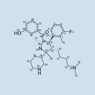 Cc1c(F)cccc1[C@H]1[C@H](CCCCN(C)C)C(C)(C2CCCNC2)[N][C@@]1(C)C(=O)c1cccc(O)c1